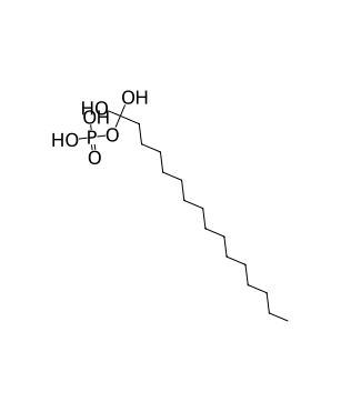 CCCCCCCCCCCCCCCC(O)(O)OP(=O)(O)O